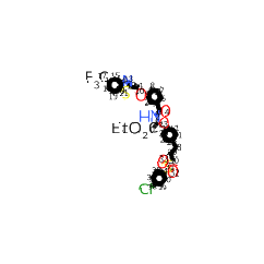 CCOC(=O)C(NC(=O)c1cccc(OCc2nc3cc(C(F)(F)F)ccc3s2)c1)Oc1ccc(CCCS(=O)(=O)c2ccc(Cl)cc2)cc1